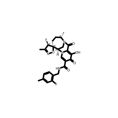 CC1=NO[C@@]2(CC[C@H](C)N3C[C@H]2n2cc(C(=O)NCc4ccc(C)cc4F)c(=O)c(O)c2C3=O)[C@@H]1F